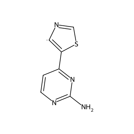 Nc1nccc(-c2[c]ncs2)n1